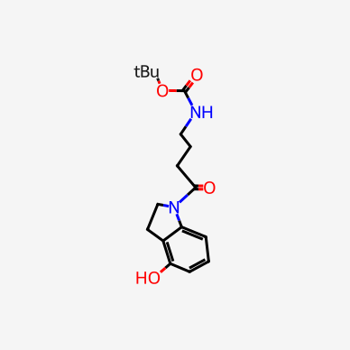 CC(C)(C)OC(=O)NCCCC(=O)N1CCc2c(O)cccc21